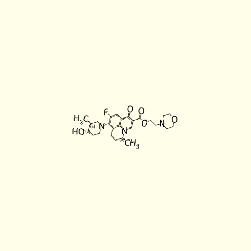 C[C@H]1CN(c2c(F)cc3c(=O)c(C(=O)OCCN4CCOCC4)cn4c3c2CC[C@@H]4C)CC[C@@H]1O